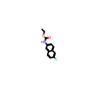 CCOC(=O)Nc1ccc2cc(F)ccc2c1